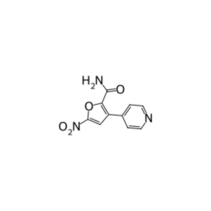 NC(=O)c1oc([N+](=O)[O-])cc1-c1ccncc1